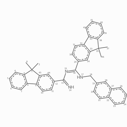 CC1(C)c2ccccc2-c2ccc(C(=N)/N=C(\NCc3ccc4ccccc4c3)c3ccc4c(c3)C(C)(C)c3ccccc3-4)cc21